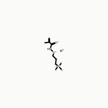 C=C(C)C(=O)NOCCC[N+](C)(C)C.[Br-]